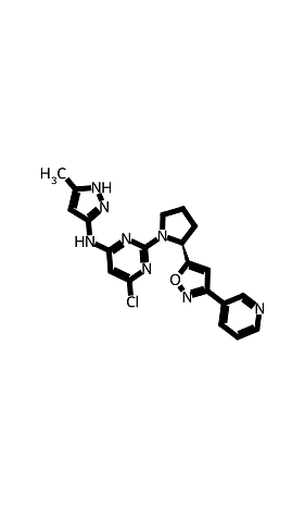 Cc1cc(Nc2cc(Cl)nc(N3CCC[C@H]3c3cc(-c4cccnc4)no3)n2)n[nH]1